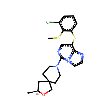 CSc1c(Cl)cccc1Sc1cnc(N2CCC3(CC2)CO[C@@H](C)C3)n2ccnc12